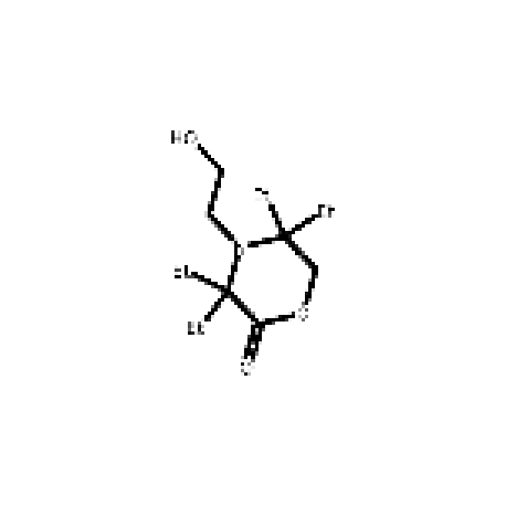 CCC1(CC)COC(=O)C(CC)(CC)N1CCO